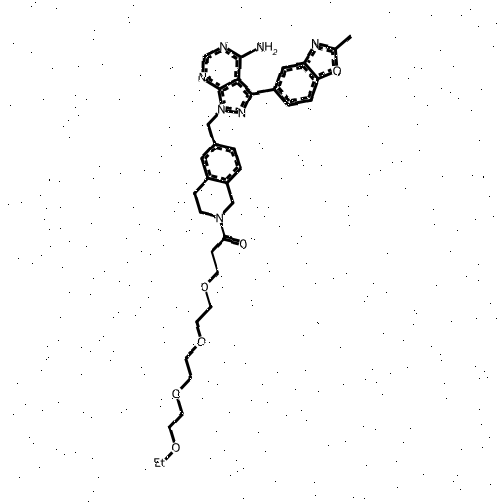 CCOCCOCCOCCOCCC(=O)N1CCc2cc(Cn3nc(-c4ccc5oc(C)nc5c4)c4c(N)ncnc43)ccc2C1